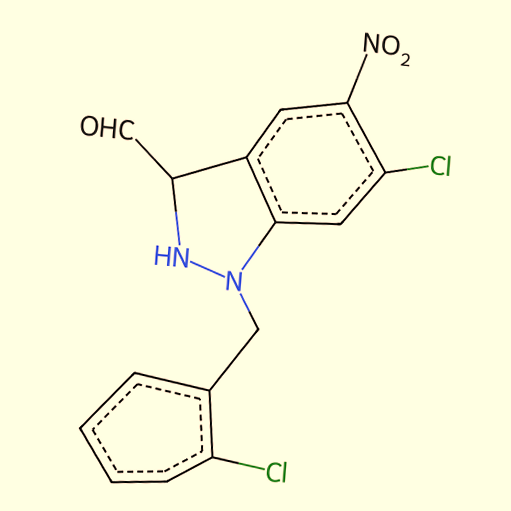 O=CC1NN(Cc2ccccc2Cl)c2cc(Cl)c([N+](=O)[O-])cc21